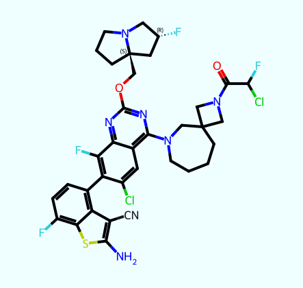 N#Cc1c(N)sc2c(F)ccc(-c3c(Cl)cc4c(N5CCCCC6(CN(C(=O)C(F)Cl)C6)C5)nc(OC[C@@]56CCCN5C[C@H](F)C6)nc4c3F)c12